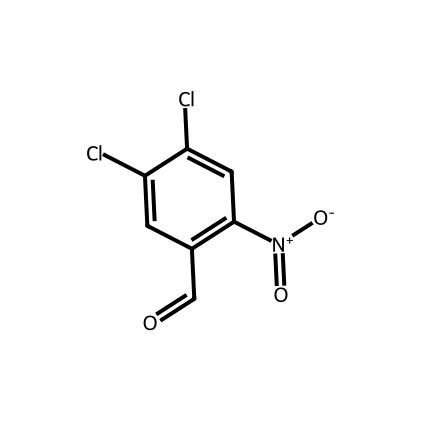 O=Cc1cc(Cl)c(Cl)cc1[N+](=O)[O-]